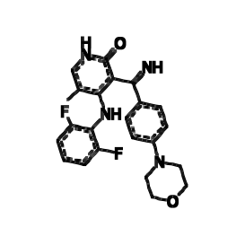 Cc1c[nH]c(=O)c(C(=N)c2ccc(N3CCOCC3)cc2)c1Nc1c(F)cccc1F